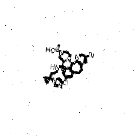 CB(O)N1CCN([C@@H]2c3ccc(Cl)cc3CCc3cc(Br)cnc32)[C@@H](C(=O)NCCC2(n3ccnc3)CC2)C1